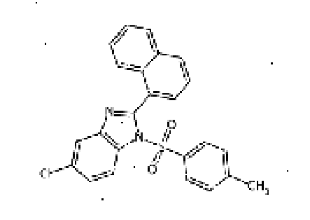 Cc1ccc(S(=O)(=O)n2c(-c3cccc4ccccc34)nc3cc(Cl)ccc32)cc1